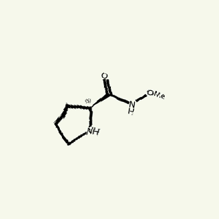 CONC(=O)[C@@H]1CCCN1